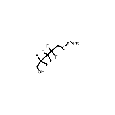 CCCCCOCC(F)(F)C(F)(F)C(F)(F)CO